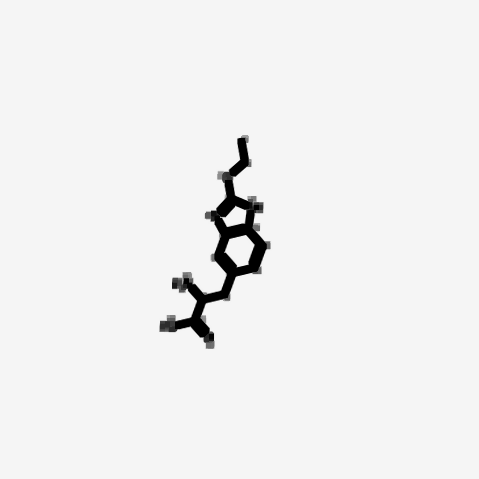 CCOc1nc2cc(CC(N)C(=O)O)ccc2[nH]1